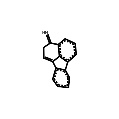 N=C1CC=C2c3ccccc3-c3cccc1c32